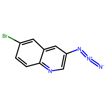 [N-]=[N+]=Nc1cnc2ccc(Br)cc2c1